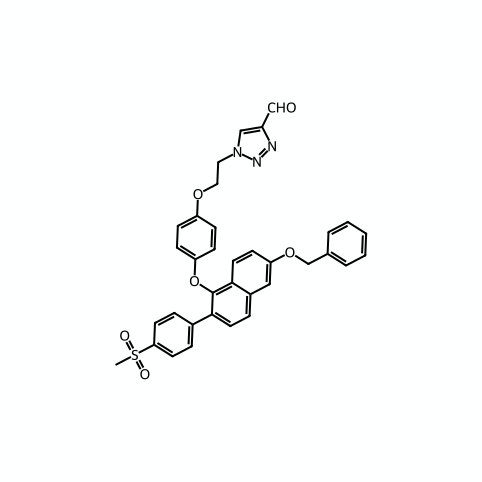 CS(=O)(=O)c1ccc(-c2ccc3cc(OCc4ccccc4)ccc3c2Oc2ccc(OCCn3cc(C=O)nn3)cc2)cc1